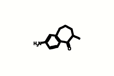 CC1CCCc2cc(N)ccc2C1=O